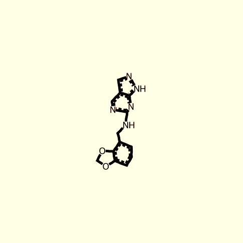 c1cc(CNc2ncc3cn[nH]c3n2)c2c(c1)OCO2